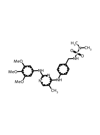 COc1cc(Nc2ncc(C)c(Nc3ccc(CNS(=O)(=O)N(C)C)cc3)n2)cc(OC)c1OC